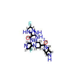 NC1NN2CC(F)CNC2C1C(=O)Nc1cncc(F)c1N1CCC(C(=O)N2CC3CNCC3C2)CC1